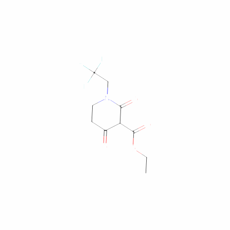 CCOC(=O)C1C(=O)CCN(CC(F)(F)F)C1=O